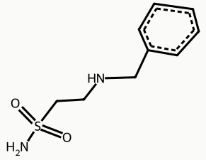 NS(=O)(=O)CCNCc1ccccc1